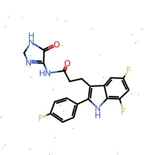 O=C(CCc1c(-c2ccc(F)cc2)[nH]c2c(F)cc(F)cc12)NC1=NCNC1=O